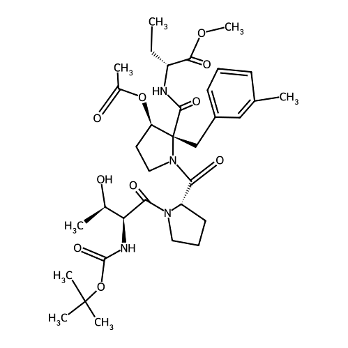 CC[C@@H](NC(=O)[C@@]1(Cc2cccc(C)c2)[C@H](OC(C)=O)CCN1C(=O)[C@@H]1CCCN1C(=O)[C@@H](NC(=O)OC(C)(C)C)[C@@H](C)O)C(=O)OC